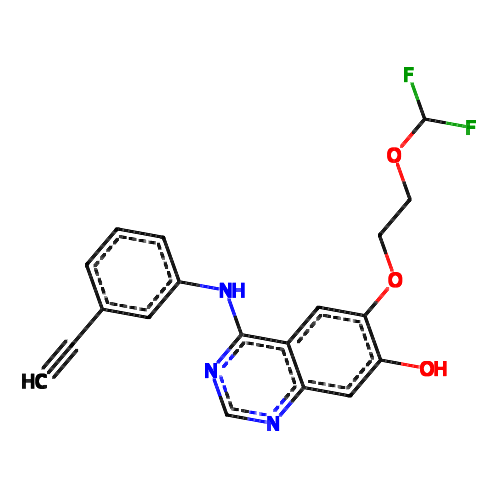 C#Cc1cccc(Nc2ncnc3cc(O)c(OCCOC(F)F)cc23)c1